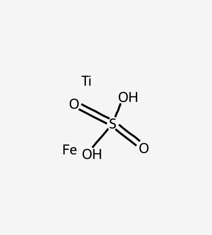 O=S(=O)(O)O.[Fe].[Ti]